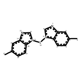 Cc1ccc2c(c1)ncn2Sn1cnc2cc(C)ccc21